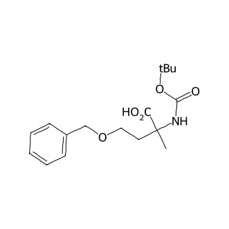 CC(C)(C)OC(=O)NC(C)(CCOCc1ccccc1)C(=O)O